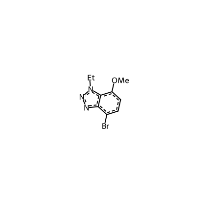 CCn1nnc2c(Br)ccc(OC)c21